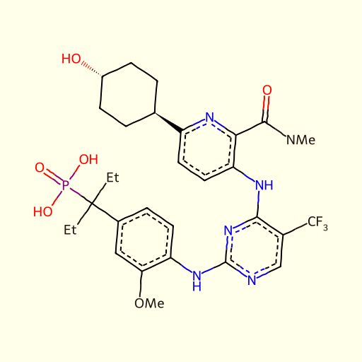 CCC(CC)(c1ccc(Nc2ncc(C(F)(F)F)c(Nc3ccc([C@H]4CC[C@H](O)CC4)nc3C(=O)NC)n2)c(OC)c1)P(=O)(O)O